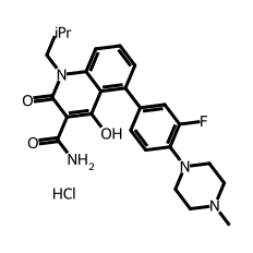 CC(C)Cn1c(=O)c(C(N)=O)c(O)c2c(-c3ccc(N4CCN(C)CC4)c(F)c3)cccc21.Cl